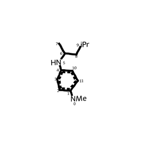 CNc1ccc(NC(C)CC(C)C)cc1